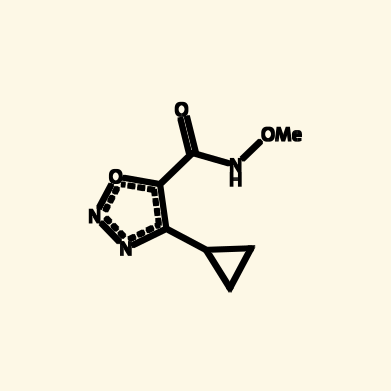 CONC(=O)c1onnc1C1CC1